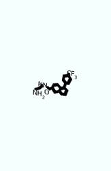 C[C@@H](CCN)NC(=O)c1ccc2c(-c3ccc(C(F)(F)F)cc3)cccc2c1